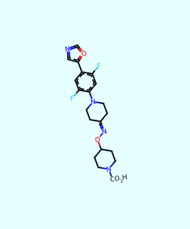 O=C(O)N1CCC(ON=C2CCN(c3cc(F)c(-c4cnco4)cc3F)CC2)CC1